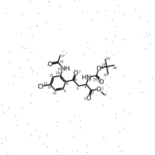 COC(=O)C(CC(=O)c1ccc(Cl)cc1NC(C)=O)NC(=O)OC(C)(C)C